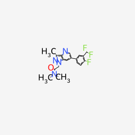 Cc1nn(CC(=O)N(C)C)c2cc(-c3ccc(F)c(C(F)F)c3)cnc12